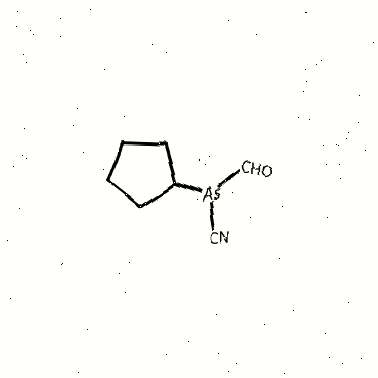 N#C[As](C=O)C1CCCC1